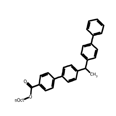 CCCCCCCCOC(=O)c1ccc(-c2ccc(C(C)c3ccc(-c4ccccc4)cc3)cc2)cc1